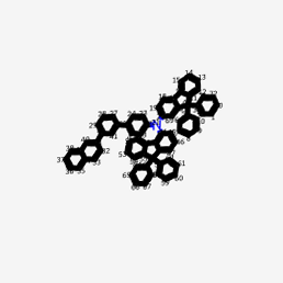 c1ccc(C2(c3ccccc3)c3ccccc3-c3ccc(N(c4ccc(-c5cccc(-c6ccc7ccccc7c6)c5)cc4)c4cccc5c4-c4ccccc4C5(c4ccccc4)c4ccccc4)cc32)cc1